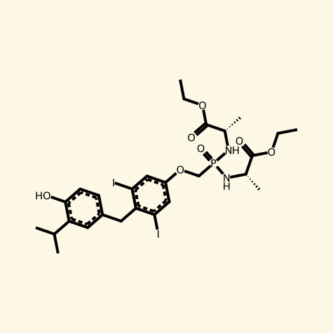 CCOC(=O)[C@H](C)NP(=O)(COc1cc(I)c(Cc2ccc(O)c(C(C)C)c2)c(I)c1)N[C@@H](C)C(=O)OCC